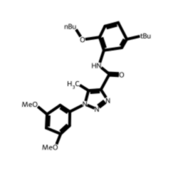 CCCCOc1ccc(C(C)(C)C)cc1NC(=O)c1nnn(-c2cc(OC)cc(OC)c2)c1C